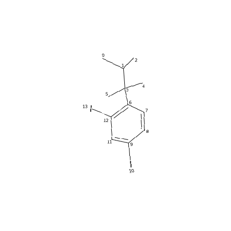 CC(C)C(C)(C)c1ccc(I)cc1I